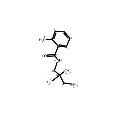 Cc1ccccc1C(=O)NCC(C)(C)CN